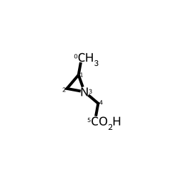 CC1CN1CC(=O)O